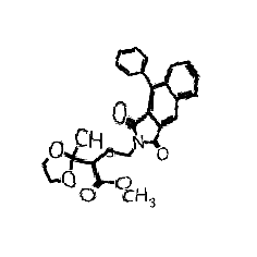 COC(=O)C(CCN1C(=O)c2cc3ccccc3c(-c3ccccc3)c2C1=O)C1(C)OCCO1